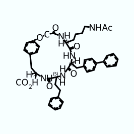 CC(=O)NCCCC[C@@H]1NC(=O)COc2ccc(cc2)C[C@@H](C(=O)O)NC(=O)[C@H](CCc2ccccc2)NC(=O)[C@@H](Cc2ccc(-c3ccccc3)cc2)NC1=O